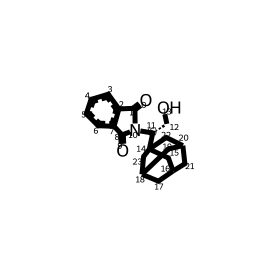 O=C1c2ccccc2C(=O)N1[C@H](CO)C12CC3CC(CC(C3)C1)C2